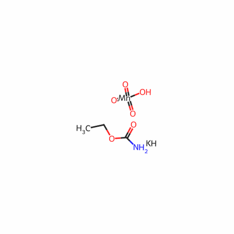 CCOC(N)=O.[KH].[O]=[Mn](=[O])(=[O])[OH]